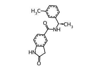 Cc1cccc([C@@H](C)NC(=O)c2ccc3c(c2)CC(=O)N3)c1